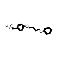 C=Cc1ccc(OCCCCOc2ccccc2)cc1